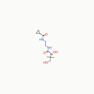 CC(C)(CO)[C@@H](O)C(=O)NCCNC(=O)C1CC1